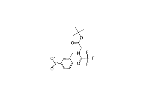 CC(C)(C)OC(=O)CN(Cc1cccc([N+](=O)[O-])c1)C(=O)C(F)(F)F